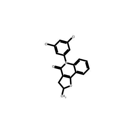 CC1Cc2c(c3ccccc3n(-c3cc(Cl)cc(Cl)c3)c2=O)O1